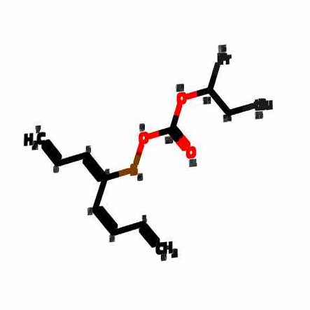 C=C/C=C\C(=C/C=C)SOC(=O)OC(CC(C)(C)C)C(C)C